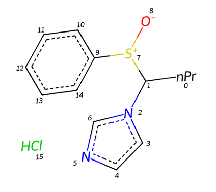 CCCC(n1ccnc1)[S+]([O-])c1ccccc1.Cl